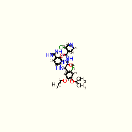 CCOc1cc(C(Nc2ccc(C(=N)N)cc2)C(=O)NNC(=O)c2ccncc2Cl)c(F)cc1OC(C)C